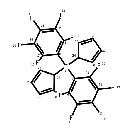 Fc1c(F)c(F)[c]([Ti]([c]2c(F)c(F)c(F)c(F)c2F)([CH]2C=CC=C2)[CH]2C=CC=C2)c(F)c1F